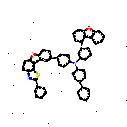 c1ccc(-c2ccc(N(c3ccc(-c4ccc5oc6ccc7nc(-c8ccccc8)sc7c6c5c4)cc3)c3cccc(-c4cccc5oc6ccccc6c45)c3)cc2)cc1